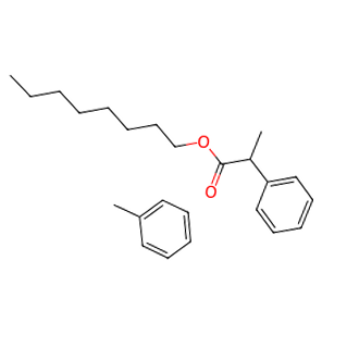 CCCCCCCCOC(=O)C(C)c1ccccc1.Cc1ccccc1